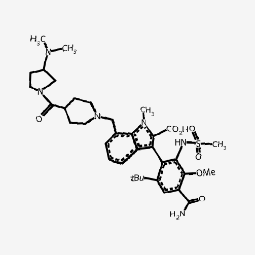 COc1c(C(N)=O)cc(C(C)(C)C)c(-c2c(C(=O)O)n(C)c3c(CN4CCC(C(=O)N5CCC(N(C)C)C5)CC4)cccc23)c1NS(C)(=O)=O